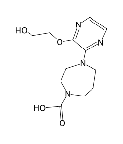 O=C(O)N1CCCN(c2nccnc2OCCO)CC1